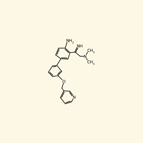 CN(C)CC(=N)c1cc(-c2cccc(OCc3cccnc3)c2)ccc1N